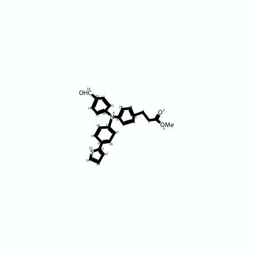 COC(=O)CCc1ccc(N(c2ccc(C=O)cc2)c2ccc(-c3cccs3)cc2)cc1